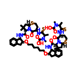 CC(C(=S)N[C@H]1CCS[C@H]2CC(C)(C)[C@@H](C(=O)N[C@H]3c4ccccc4C[C@H]3OCCCCCCO[C@@H]3Cc4ccccc4[C@@H]3NC(=O)[C@H]3N4C(=O)[C@@H](NC(=S)C(C)N(C)C(=O)O)CCS[C@H]4CC3(C)C)N2C1=O)N(C)C(=O)O